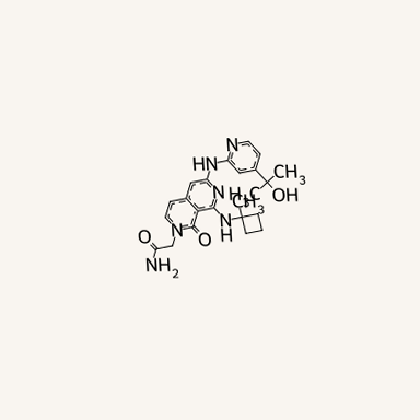 CC1(Nc2nc(Nc3cc(C(C)(C)O)ccn3)cc3ccn(CC(N)=O)c(=O)c23)CCC1